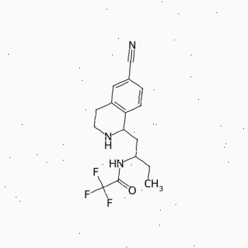 CCC(CC1NCCc2cc(C#N)ccc21)NC(=O)C(F)(F)F